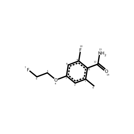 Cc1cc(OCCF)cc(F)c1C(N)=O